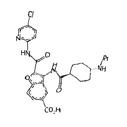 CC(C)N[C@H]1CC[C@H](C(=O)Nc2c(C(=O)Nc3ccc(Cl)cn3)oc3ccc(C(=O)O)cc23)CC1